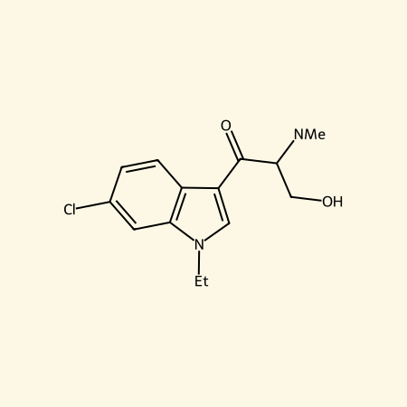 CCn1cc(C(=O)C(CO)NC)c2ccc(Cl)cc21